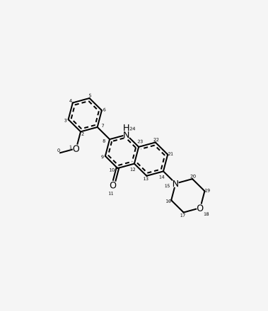 COc1ccccc1-c1cc(=O)c2cc(N3CCOCC3)ccc2[nH]1